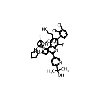 CC(C)(O)c1ccc(-c2nc3c(F)c(-c4cccc(Cl)c4Cl)c(CCC#N)cc3c3c2cc([C@H]2CCCN2)n3[C@H]2[C@@H]3C[C@H]2N(C(=O)O)C3)cn1